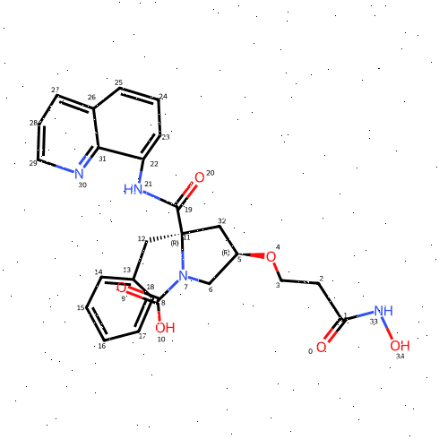 O=C(CCO[C@H]1CN(C(=O)O)[C@@](Cc2ccccc2)(C(=O)Nc2cccc3cccnc23)C1)NO